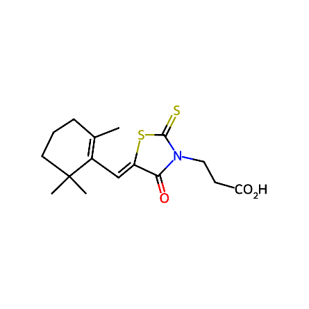 CC1=C(/C=C2\SC(=S)N(CCC(=O)O)C2=O)C(C)(C)CCC1